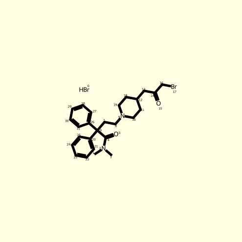 Br.CN(C)C(=O)C(CCN1CCC(CC(=O)CBr)CC1)(c1ccccc1)c1ccccc1